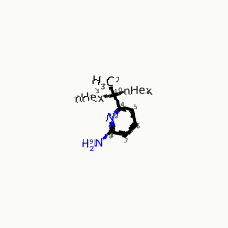 CCCCCCC(C)(CCCCCC)c1cccc(N)n1